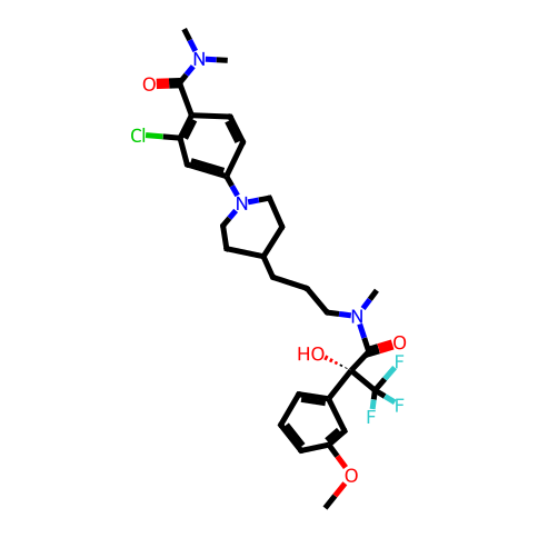 COc1cccc([C@@](O)(C(=O)N(C)CCCC2CCN(c3ccc(C(=O)N(C)C)c(Cl)c3)CC2)C(F)(F)F)c1